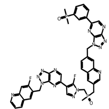 CP(=O)(Cc1cnc2cc(Cn3nnc4ncc(-c5cccc(P(C)(C)=O)c5)nc43)ccc2c1)Cn1ncc(-c2cnc3nnn(Cc4cc5cccnc5cc4F)c3n2)c1F